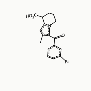 Cc1cc2n(c1C(=O)c1cccc(Br)c1)CCCC2C(=O)O